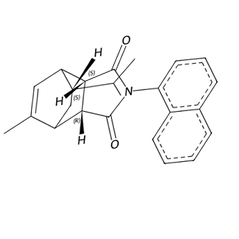 CC1=CC2[C@H](C(C)C)CC1[C@H]1C(=O)N(c3cccc4ccccc34)C(=O)[C@@H]21